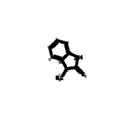 CC1C(=O)Nc2cccnc21